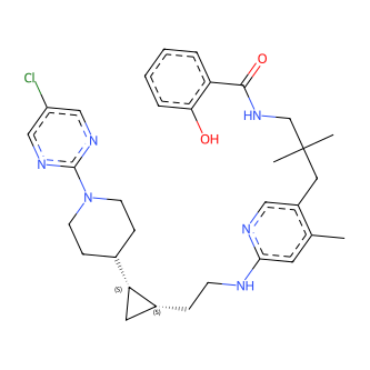 Cc1cc(NCC[C@@H]2C[C@@H]2C2CCN(c3ncc(Cl)cn3)CC2)ncc1CC(C)(C)CNC(=O)c1ccccc1O